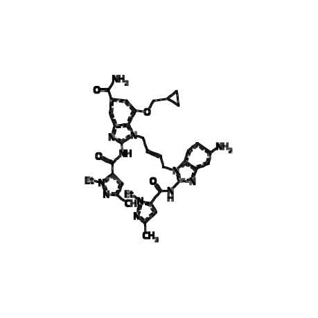 CCn1nc(C)cc1C(=O)Nc1nc2cc(N)ccc2n1CC=CCn1c(NC(=O)c2cc(C)nn2CC)nc2cc(C(N)=O)cc(OCC3CC3)c21